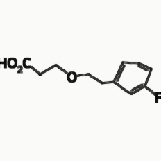 O=C(O)CCOCCc1cccc(F)c1